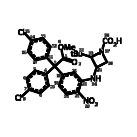 COC(=O)C(c1ccc(Cl)cc1)(c1ccc(Cl)cc1)c1ccc([N+](=O)[O-])c(NC2CN(C(=O)O)C2C(C)(C)C)c1